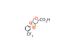 CC1(S(=O)(=O)c2cccc(C(F)(F)F)c2)CCOC(C(=O)O)C1